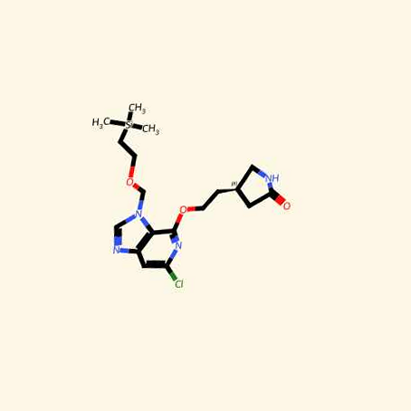 C[Si](C)(C)CCOCn1cnc2cc(Cl)nc(OCC[C@H]3CNC(=O)C3)c21